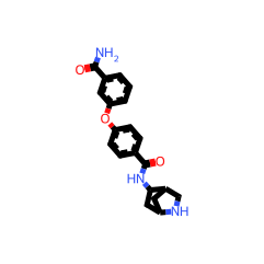 NC(=O)c1cccc(Oc2ccc(C(=O)NC3CC4CC3CN4)cc2)c1